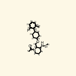 CSNC1CCCN(C(C)=O)C1COC1CCC(c2c(F)cccc2F)CC1